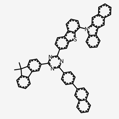 CC1(C)c2ccccc2-c2cc(-c3nc(-c4ccc(-c5ccc6ccccc6c5)cc4)nc(-c4ccc5c(c4)sc4c(-n6c7ccccc7c7cc8ccccc8cc76)cccc45)n3)ccc21